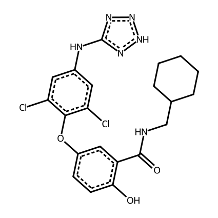 O=C(NCC1CCCCC1)c1cc(Oc2c(Cl)cc(Nc3nn[nH]n3)cc2Cl)ccc1O